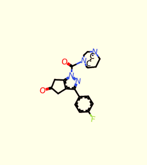 O=C1Cc2c(-c3ccc(F)cc3)nn(C(=O)N3CCN4CCC3CC4)c2C1